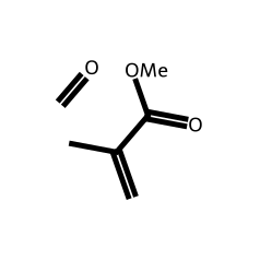 C=C(C)C(=O)OC.C=O